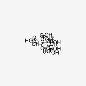 CC[C@H]1OC(COP(=O)(O)O)[C@@H](OP(=O)(O)O)C(OP(=O)(O)O)[C@@H]1O[PH](O)(O)O